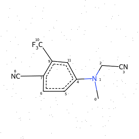 CN(CC#N)c1ccc(C#N)c(C(F)(F)F)c1